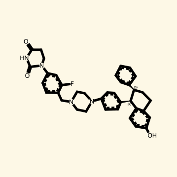 O=C1CCN(c2ccc(CN3CCN(c4ccc([C@@H]5c6ccc(O)cc6CC[C@@H]5c5ccccc5)cc4)CC3)c(F)c2)C(=O)N1